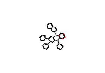 c1ccc(-c2cc(N(c3ccccc3)c3ccccc3)c(N(c3ccccc3)c3ccc4ccccc4c3)cc2-c2ccccc2)cc1